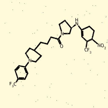 O=C(CCCC1CCN(c2ccc(C(F)(F)F)cc2)CC1)N1CC[C@@H](NC2=CC(C(F)(F)F)C([N+](=O)[O-])CC2)C1